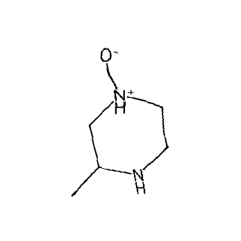 CC1C[NH+]([O-])CCN1